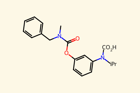 CC(C)N(C(=O)O)c1cccc(OC(=O)N(C)Cc2ccccc2)c1